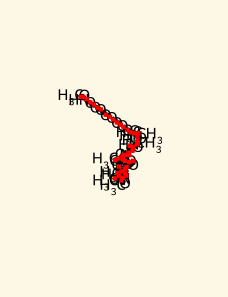 C/C=C(\CC(C)/C=N\c1cc(OCCCOc2cc3c(cc2OC)C(=O)N2C=C(c4ccc(NC(=O)C(C)NC(=O)C(NC(=O)CCOCCOCCOCCOCCOCCOCCOCCOCCNC(=O)CC)C(C)C)cc4)CC2C=N3)c(OC)cc1C(C)=O)c1ccc2c(c1)OCO2